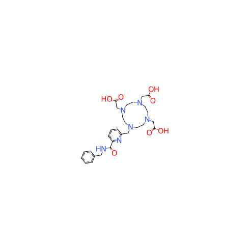 O=C(O)CN1CCN(CC(=O)O)CCN(Cc2cccc(C(=O)NCc3ccccc3)n2)CCN(CC(=O)O)CC1